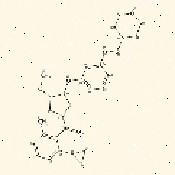 COC1CN(C(=O)c2c(C)cccc2C2CC2)CC1Oc1cccc(OSN2CCOCC2)c1